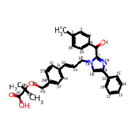 Cc1ccc(C(=O)c2nc(-c3ccccc3)cn2C/C=C/c2ccc(COC(C)(C)C(=O)O)cc2)cc1